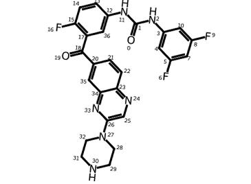 O=C(Nc1cc(F)cc(F)c1)Nc1ccc(F)c(C(=O)c2ccc3ncc(N4CCNCC4)nc3c2)c1